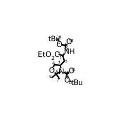 CCOC(=O)C(CC1COC(C)(C)N1C(=O)OC(C)(C)C)NC(=O)OC(C)(C)C